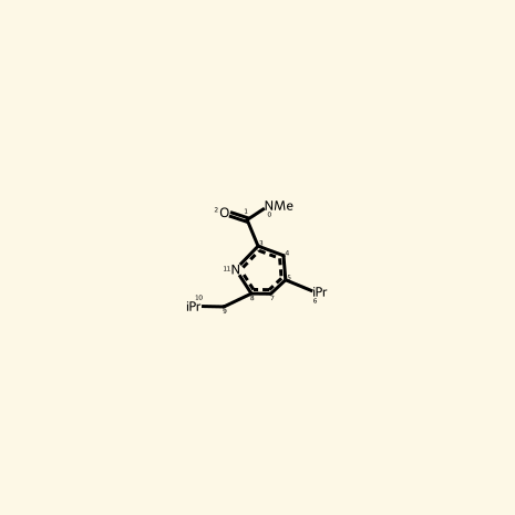 CNC(=O)c1cc(C(C)C)cc(CC(C)C)n1